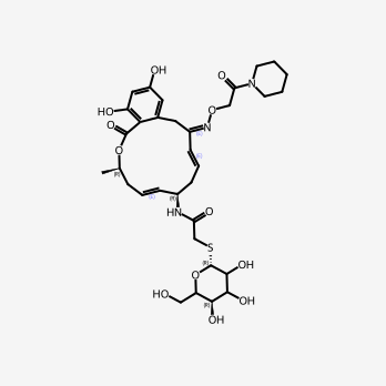 C[C@@H]1C/C=C/[C@H](NC(=O)CS[C@H]2OC(CO)[C@H](O)C(O)C2O)C/C=C/C(=N/OCC(=O)N2CCCCC2)Cc2cc(O)cc(O)c2C(=O)O1